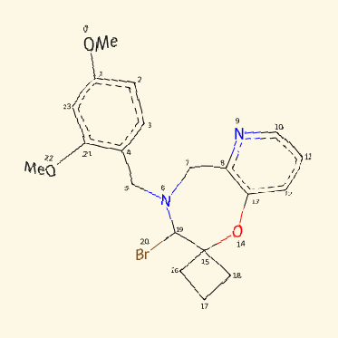 COc1ccc(CN2Cc3ncccc3OC3(CCC3)C2Br)c(OC)c1